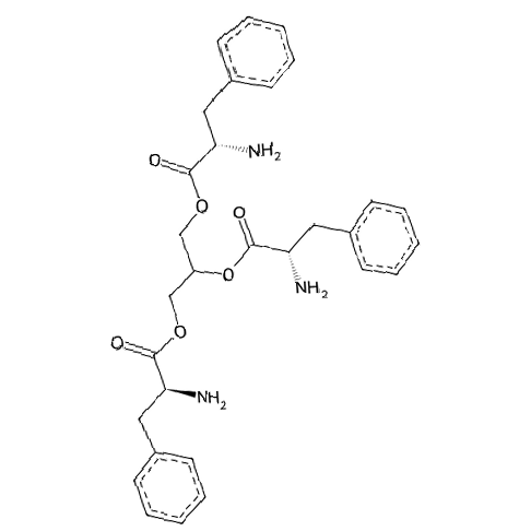 N[C@@H](Cc1ccccc1)C(=O)OCC(COC(=O)[C@@H](N)Cc1ccccc1)OC(=O)[C@@H](N)Cc1ccccc1